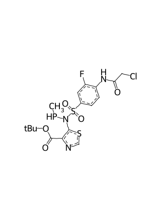 CPN(c1scnc1C(=O)OC(C)(C)C)S(=O)(=O)c1ccc(NC(=O)CCl)c(F)c1